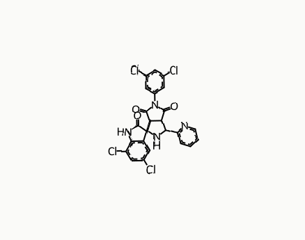 O=C1C2C(c3ccccn3)NC3(C(=O)Nc4c(Cl)cc(Cl)cc43)C2C(=O)N1c1cc(Cl)cc(Cl)c1